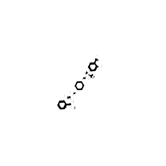 CNc1nc(NC[C@H]2CC[C@H](CNS(=O)(=O)c3ccc(C(C)(C)C)cc3)CC2)nc2ccccc12